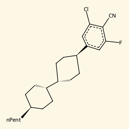 CCCCC[C@H]1CC[C@H]([C@H]2CC[C@H](c3cc(F)c(C#N)c(Cl)c3)CC2)CC1